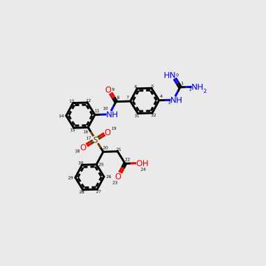 N=C(N)Nc1ccc(C(=O)Nc2ccccc2S(=O)(=O)C(CC(=O)O)c2ccccc2)cc1